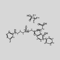 Cc1ccnc(NCCCC(=O)NCC(=O)NC(CC(=O)O)c2cccc(-c3ccccc3)c2O)c1.O=C(O)C(F)(F)F